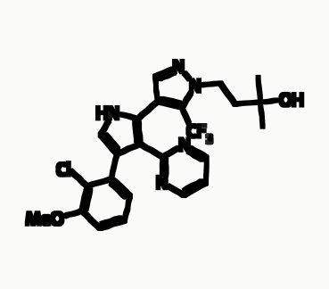 COc1cccc(-c2c[nH]c(-c3cnn(CCC(C)(C)O)c3C(F)(F)F)c2-c2ncccn2)c1Cl